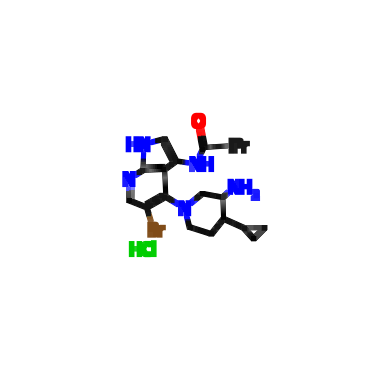 CC(C)C(=O)Nc1c[nH]c2ncc(Br)c(N3CCC(C4CC4)C(N)C3)c12.Cl